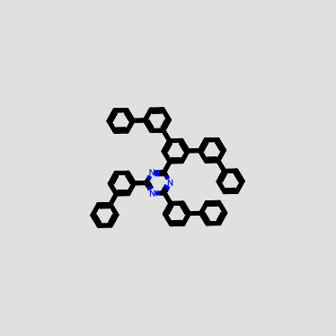 c1ccc(-c2cccc(-c3cc(-c4cccc(-c5ccccc5)c4)cc(-c4nc(-c5cccc(-c6ccccc6)c5)nc(-c5cccc(-c6ccccc6)c5)n4)c3)c2)cc1